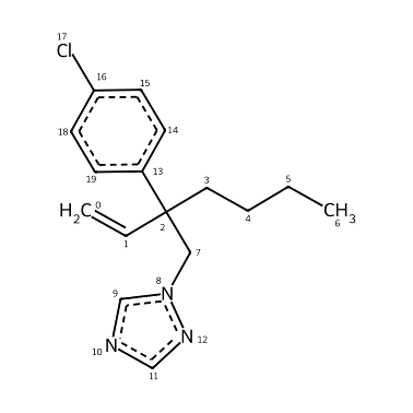 C=CC(CCCC)(Cn1cncn1)c1ccc(Cl)cc1